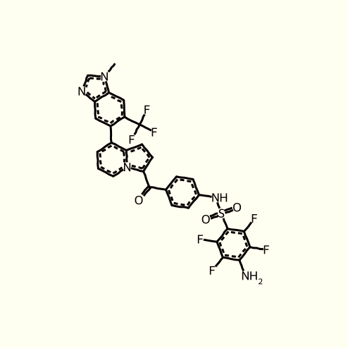 Cn1cnc2cc(-c3cccn4c(C(=O)c5ccc(NS(=O)(=O)c6c(F)c(F)c(N)c(F)c6F)cc5)ccc34)c(C(F)(F)F)cc21